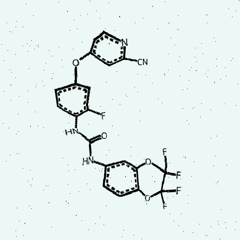 N#Cc1cc(Oc2ccc(NC(=O)Nc3ccc4c(c3)OC(F)(F)C(F)(F)O4)c(F)c2)ccn1